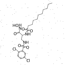 CCCCCCCCCCS(=O)(=O)NC(CNS(=O)(=O)c1cc(Cl)ccc1Cl)C(=O)NO